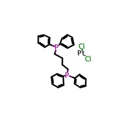 [Cl][Pt][Cl].c1ccc(P(CCCCP(c2ccccc2)c2ccccc2)c2ccccc2)cc1